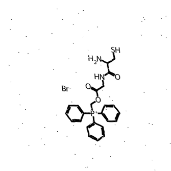 NC(CS)C(=O)NCC(=O)OC[P+](c1ccccc1)(c1ccccc1)c1ccccc1.[Br-]